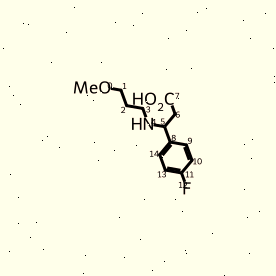 COCCCNC(CC(=O)O)c1ccc(F)cc1